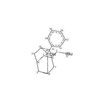 CC(C)(C)CC12CC3CC(C1)C(O)(c1ccccc1)C(C3)C2